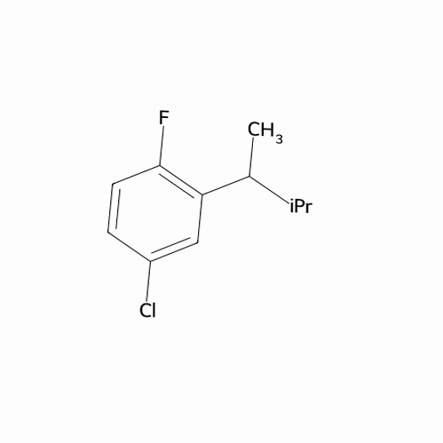 CC(C)C(C)c1cc(Cl)ccc1F